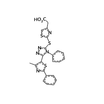 Cc1nc(-c2ccccc2)sc1-c1nnc(Sc2nc(CC(=O)O)cs2)n1-c1ccccc1